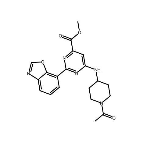 COC(=O)c1cc(NC2CCN(C(C)=O)CC2)nc(-c2cccc3ncoc23)n1